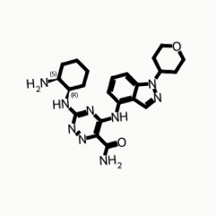 NC(=O)c1nnc(N[C@@H]2CCCC[C@@H]2N)nc1Nc1cccc2c1cnn2C1CCOCC1